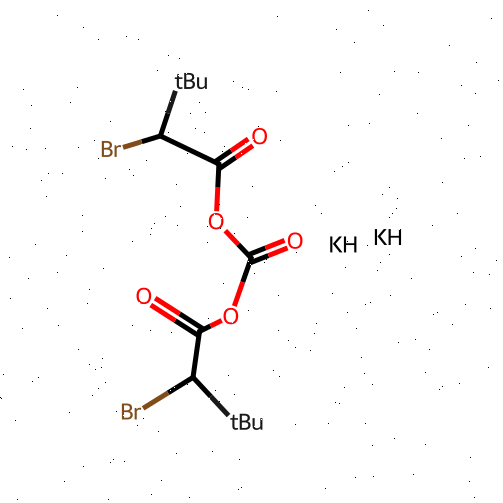 CC(C)(C)C(Br)C(=O)OC(=O)OC(=O)C(Br)C(C)(C)C.[KH].[KH]